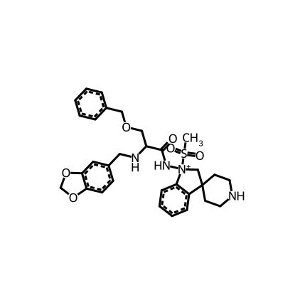 CS(=O)(=O)[N+]1(NC(=O)C(COCc2ccccc2)NCc2ccc3c(c2)OCO3)CC2(CCNCC2)c2ccccc21